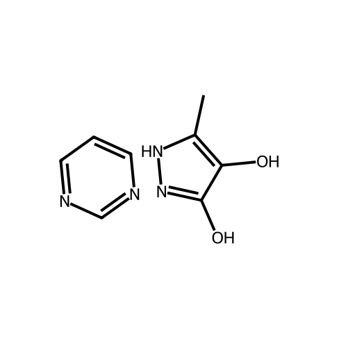 Cc1[nH]nc(O)c1O.c1cncnc1